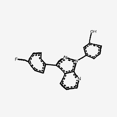 Oc1cccc(-n2nc(-c3ccc(F)cc3)c3cccnc32)c1